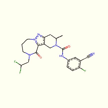 CC1Cc2nn3c(c2CN1C(=O)Nc1ccc(F)c(C#N)c1)C(=O)N(CC(F)F)CCC3